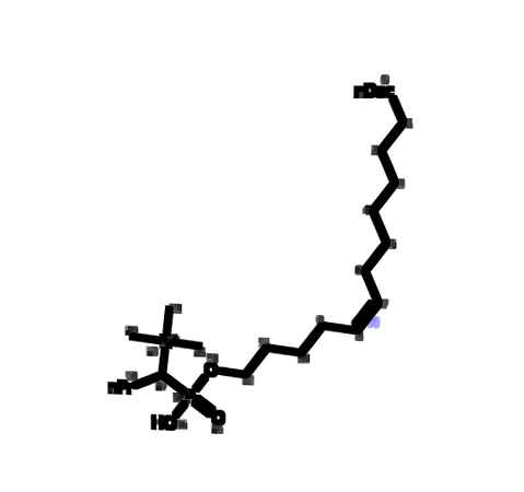 CCCCCCCCCCCCCCCC/C=C\CCCCOP(=O)(O)C(CCC)[N+](C)(C)C